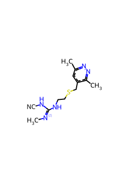 C/N=C(\NC#N)NCCSCc1cc(C)nnc1C